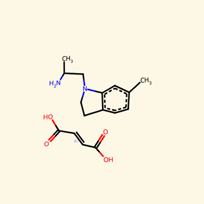 Cc1ccc2c(c1)N(CC(C)N)CC2.O=C(O)/C=C/C(=O)O